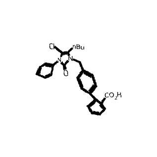 CCCCc1c(Cl)n(-c2ccccc2)c(=O)n1Cc1ccc(-c2ccccc2C(=O)O)cc1